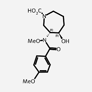 COc1ccc(C(=O)N(OC)[C@@H]2CN(C(=O)O)CCC[C@H]2O)cc1